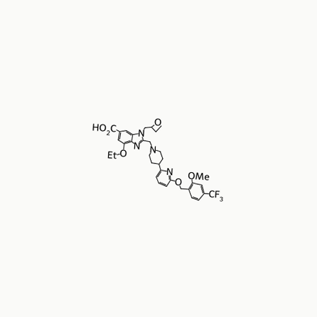 CCOc1cc(C(=O)O)cc2c1nc(CN1CCC(c3cccc(OCc4ccc(C(F)(F)F)cc4OC)n3)CC1)n2CC1CCO1